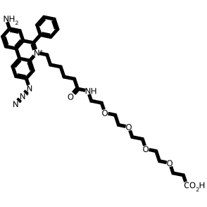 [N-]=[N+]=Nc1ccc2c3ccc(N)cc3c(-c3ccccc3)[n+](CCCCCC(=O)NCCOCCOCCOCCOCCC(=O)O)c2c1